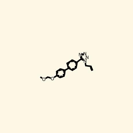 C=CCn1nnnc1-c1ccc(-c2ccc(OCOC)cc2)cc1